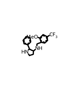 COc1cc(C(F)(F)F)ccc1CNC1CCNC1c1ccccc1